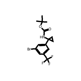 CC(C)(C)OC(=O)NC1(c2cc(Br)cc(C(F)(F)F)c2)CC1